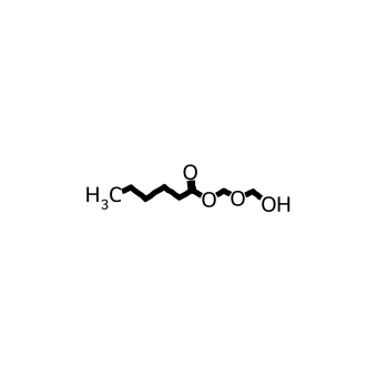 CCCCCC(=O)OCOCO